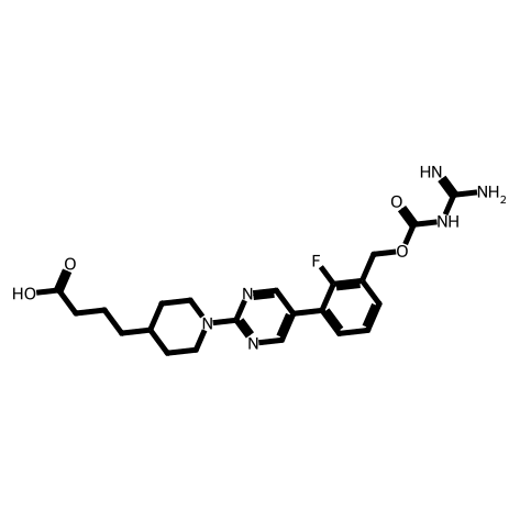 N=C(N)NC(=O)OCc1cccc(-c2cnc(N3CCC(CCCC(=O)O)CC3)nc2)c1F